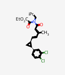 CCOC(=O)C(=O)N(CC(C)C)C(=O)C=C(C)C=C[C@@H]1C[C@H]1c1ccc(Cl)c(Cl)c1